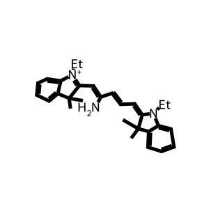 CCN1/C(=C/C=C/C(N)=C/C2=[N+](CC)c3ccccc3C2(C)C)C(C)(C)c2ccccc21